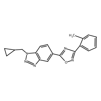 Cc1ccccc1-c1noc(-c2ccc3c(c2)nnn3CC2CC2)n1